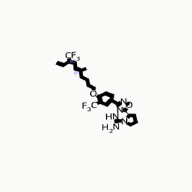 C=C/C(=C\C=C(/C)CCCCOc1ccc(-c2noc([C@@H]3CCCN3C(=N)N)n2)cc1C(F)(F)F)C(F)(F)F